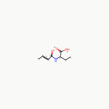 C/C=C/C(=O)NC(CC)C(=O)O